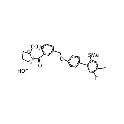 CSc1cc(F)c(F)cc1-c1ccc(OCc2cccc(C(=O)N3[C@H](CO)CC[C@H]3C(=O)O)c2)cc1